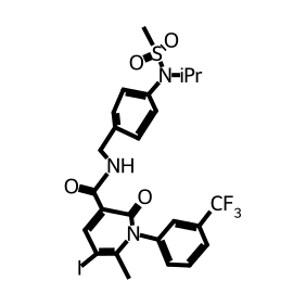 Cc1c(I)cc(C(=O)NCc2ccc(N(C(C)C)S(C)(=O)=O)cc2)c(=O)n1-c1cccc(C(F)(F)F)c1